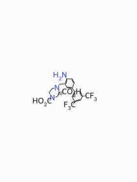 Nc1ccc(-c2cc(C(F)(F)F)cc(C(F)(F)F)c2)cc1CN1CCN(C(=O)O)C[C@H]1C(=O)O